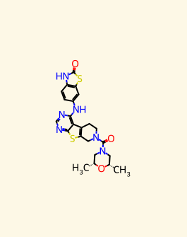 C[C@@H]1CN(C(=O)N2CCc3c(sc4ncnc(Nc5ccc6[nH]c(=O)sc6c5)c34)C2)C[C@H](C)O1